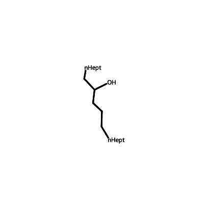 [CH2]CCCCCCCCCC(O)CCCCCCCC